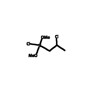 CO[Si](Cl)(CC(C)Cl)OC